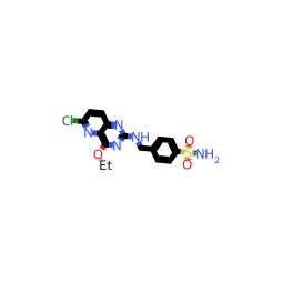 CCOc1nc(NCc2ccc(S(N)(=O)=O)cc2)nc2ccc(Cl)nc12